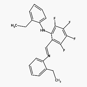 CCc1ccccc1/N=C/c1c(F)c(F)c(F)c(F)c1Nc1ccccc1CC